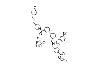 COC(=O)c1ccc(CN(Cc2cccc(-c3cccc(C(=O)N4CCC(CCCC5CCNCC5)CC4)c3)c2)C(=O)Cc2cccc(Br)c2)cc1.O=C(O)C(F)(F)F